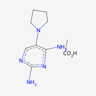 CC(=O)O.Nc1ncc(N2CCCC2)c(N)n1